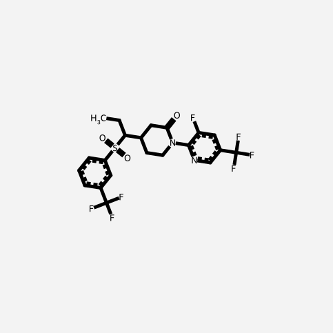 CCC(C1CCN(c2ncc(C(F)(F)F)cc2F)C(=O)C1)S(=O)(=O)c1cccc(C(F)(F)F)c1